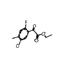 CCOC(=O)C(=O)c1cc(Cl)c(C)cc1F